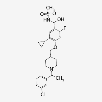 CC(c1cccc(Cl)c1)N1CCC(COc2cc(F)c(C(O)NS(C)(=O)=O)cc2C2CC2)CC1